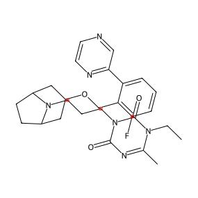 CCn1c(C)nc(=O)n(CCCN2C3CCC2CC(OCc2c(F)cccc2-c2cnccn2)C3)c1=O